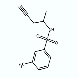 C#CCC(C)NS(=O)(=O)c1cccc(C(F)(F)F)c1